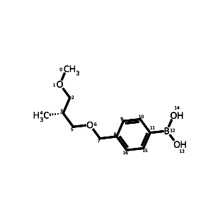 COC[C@@H](C)COCc1ccc(B(O)O)cc1